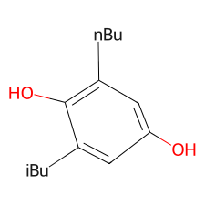 CCCCc1cc(O)cc(C(C)CC)c1O